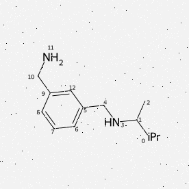 CC(C)C(C)NCc1cccc(CN)c1